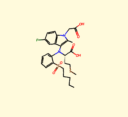 CCCCCS(=O)(=O)c1ccccc1N(c1c(C)n(CC(=O)O)c2ccc(F)cc12)[C@@H](CCSC)C(=O)O